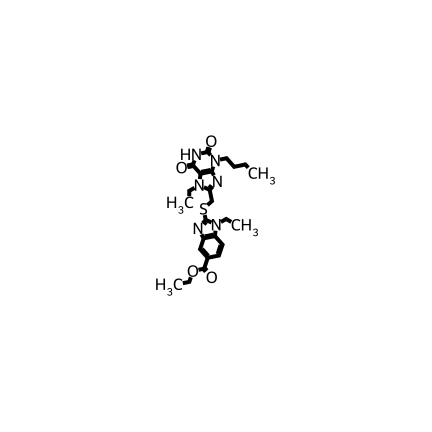 CCCCn1c(=O)[nH]c(=O)c2c1nc(CSc1nc3cc(C(=O)OCC)ccc3n1CC)n2CC